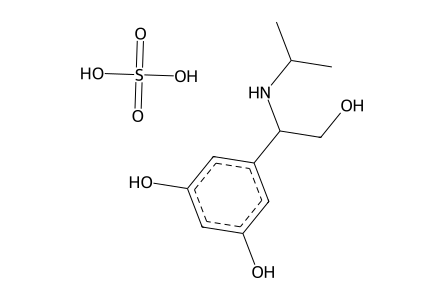 CC(C)NC(CO)c1cc(O)cc(O)c1.O=S(=O)(O)O